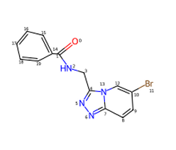 O=C(NCc1nnc2ccc(Br)cn12)c1ccccc1